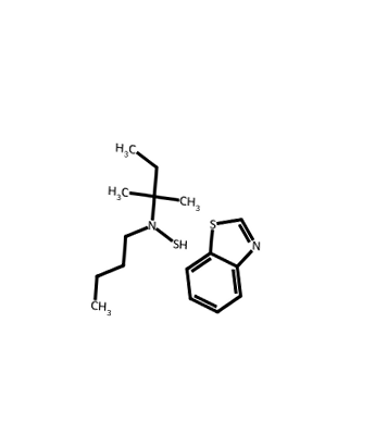 CCCCN(S)C(C)(C)CC.c1ccc2scnc2c1